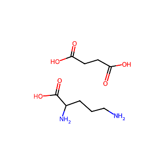 NCCCC(N)C(=O)O.O=C(O)CCC(=O)O